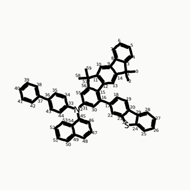 CC1(C)c2ccccc2-c2cc3c(cc21)-c1c(-c2ccc4c(c2)sc2ccccc24)cc(N(c2ccc(-c4ccccc4)cc2)c2cccc4ccccc24)cc1C3(C)C